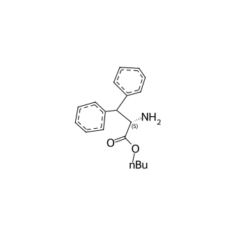 CCCCOC(=O)[C@@H](N)C(c1ccccc1)c1ccccc1